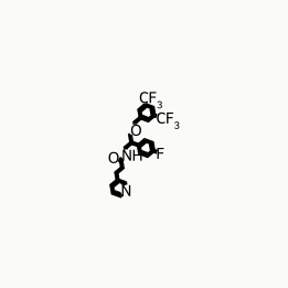 O=C(CCc1cccnc1)NCC(COCc1cc(C(F)(F)F)cc(C(F)(F)F)c1)c1ccc(F)cc1